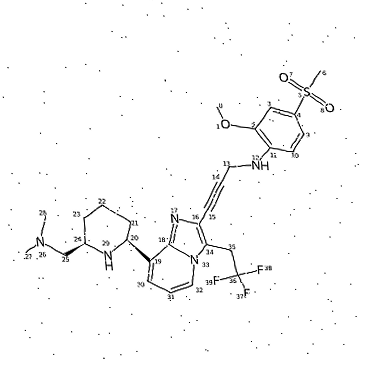 COc1cc(S(C)(=O)=O)ccc1NCC#Cc1nc2c([C@@H]3CCC[C@H](CN(C)C)N3)cccn2c1CC(F)(F)F